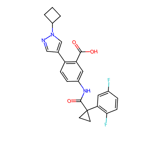 O=C(O)c1cc(NC(=O)C2(c3cc(F)ccc3F)CC2)ccc1-c1cnn(C2CCC2)c1